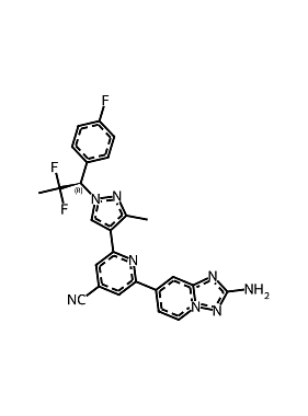 Cc1nn([C@H](c2ccc(F)cc2)C(C)(F)F)cc1-c1cc(C#N)cc(-c2ccn3nc(N)nc3c2)n1